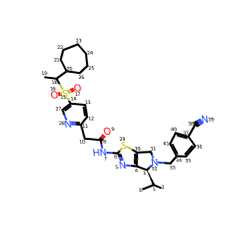 CC(C)[C@H]1c2nc(NC(=O)Cc3ccc(S(=O)(=O)C(C)C4CCCCCC4)cn3)sc2CN1Cc1ccc(C#N)cc1